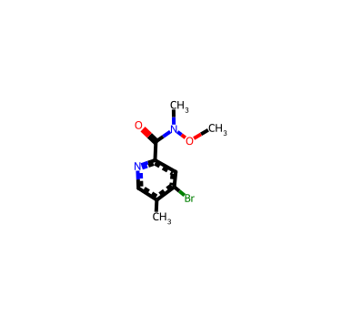 CON(C)C(=O)c1cc(Br)c(C)cn1